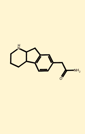 NC(=O)Cc1ccc2c(c1)CC1NCCCC21